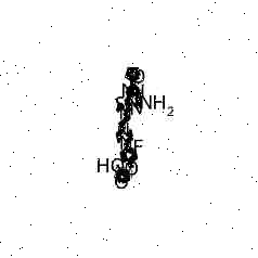 Nc1nc2c(c3nc(-c4ccco4)nn13)SCN2CCN1CCN(c2ccc(O[C@@H]3COC[C@H]3O)cc2F)CC1